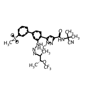 CC(/N=N\Nc1cc(-c2cccc(S(C)(=O)=O)c2)ccc1-c1cc(C(=O)NC(C)(C)C#N)nn1C)[C@@H](C)OC(F)(F)F